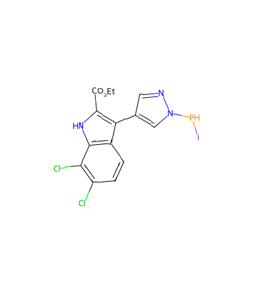 CCOC(=O)c1[nH]c2c(Cl)c(Cl)ccc2c1-c1cnn(PI)c1